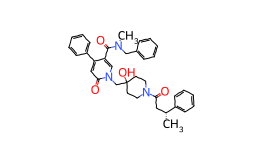 C[C@H](CC(=O)N1CCC(O)(Cn2cc(C(=O)N(C)Cc3ccccc3)c(-c3ccccc3)cc2=O)CC1)c1ccccc1